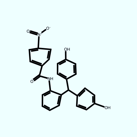 O=C(Nc1ccccc1C(c1ccc(O)cc1)c1ccc(O)cc1)c1ccc([N+](=O)[O-])cc1